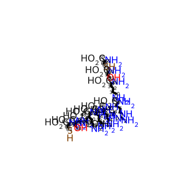 N=C(N)NCCC[C@H](N)C(=O)O.NCC(=O)O.NCCCC[C@H](N)C(=O)O.NCCCC[C@H](N)C(=O)O.NCCCC[C@H](N)C(=O)O.NCCCC[C@H](N)C(=O)O.N[C@@H](CC(=O)O)C(=O)O.N[C@@H](CO)C(=O)O.N[C@@H](CO)C(=O)O.N[C@@H](CS)C(=O)O.N[C@@H](CS)C(=O)O